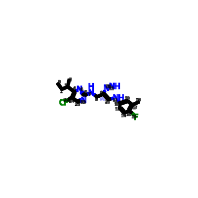 CCC(C)c1nc(NC/C(=C/Nc2ccc(F)c(C)c2)N=N)ncc1Cl